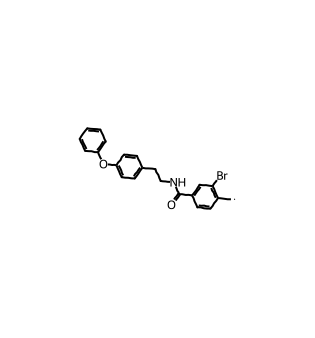 [CH2]c1ccc(C(=O)NCCc2ccc(Oc3ccccc3)cc2)cc1Br